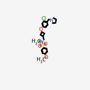 COc1ccc(S(=O)(=O)N(C)CC2CC(Oc3ccc(CN4CCCC4)c(Cl)c3)C2)cc1